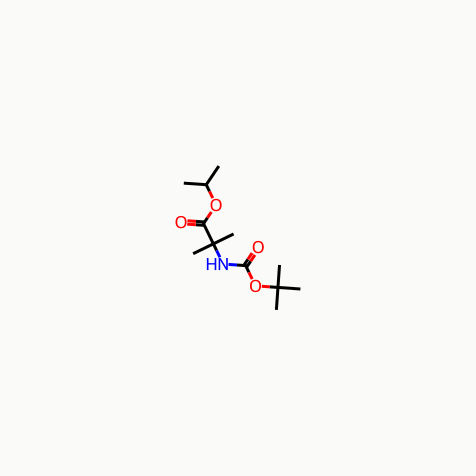 CC(C)OC(=O)C(C)(C)NC(=O)OC(C)(C)C